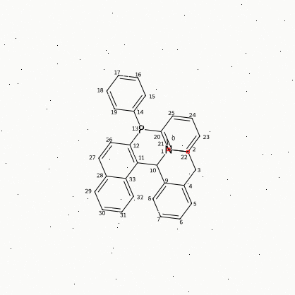 CN1CCc2ccccc2C1c1c(P(c2ccccc2)c2ccccc2)ccc2ccccc12